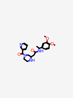 COc1ccc(C(C)NC(=O)CC2CN(C(=O)c3cccnc3)CCN2)cc1OC